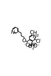 [CH2]C(OCCCc1cccnc1)c1cc(C)nc(Cl)c1[N+](=O)[O-]